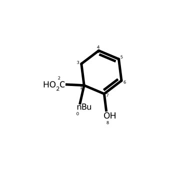 CCCCC1(C(=O)O)C[C]=CC=C1O